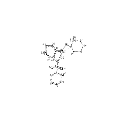 O=S(=O)(c1ccccn1)c1cn(CC2CCCCN2)c2ccncc12